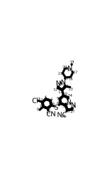 Cc1c(Cl)ccc(Sc2cc(-c3cnn(C4CCN(C)CC4)c3C)cn3ncc(C#N)c23)c1C#N